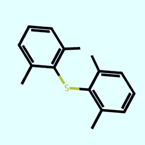 Cc1cccc(C)c1Sc1c(C)cccc1C